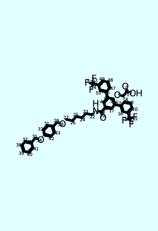 O=C(O)COc1c(-c2cccc(C(F)(F)F)c2)cc(C(=O)NCCCCCCOCc2ccc(OCc3ccccc3)cc2)cc1-c1cccc(C(F)(F)F)c1